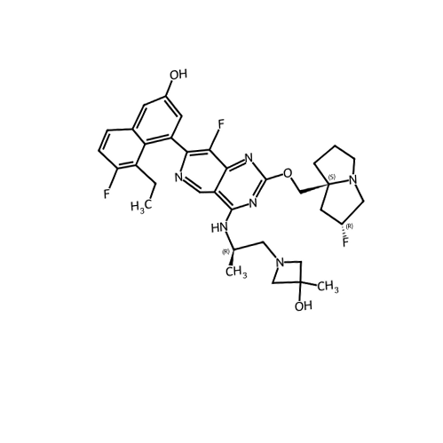 CCc1c(F)ccc2cc(O)cc(-c3ncc4c(N[C@H](C)CN5CC(C)(O)C5)nc(OC[C@@]56CCCN5C[C@H](F)C6)nc4c3F)c12